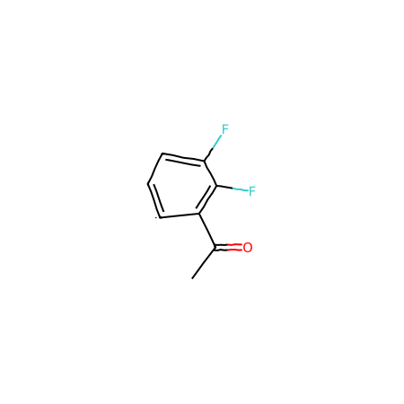 CC(=O)c1[c]ccc(F)c1F